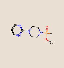 CCOP(C)(=O)N1CCN(c2ncccn2)CC1